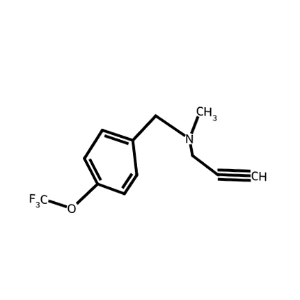 C#CCN(C)Cc1ccc(OC(F)(F)F)cc1